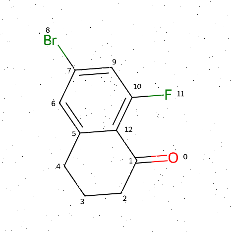 O=C1CCCc2cc(Br)cc(F)c21